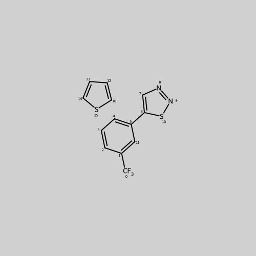 FC(F)(F)c1cccc(-c2cnns2)c1.c1ccsc1